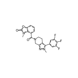 Cn1nc2c(c1-c1cc(F)c(F)c(F)c1)CCN(C(=O)c1cccc3oc(=O)n(C)c13)C2